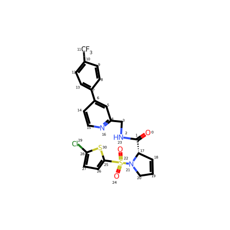 O=C(NCc1cc(-c2ccc(C(F)(F)F)cc2)ccn1)[C@@H]1C=CCN1S(=O)(=O)c1ccc(Cl)s1